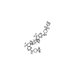 Cn1cc(S(=O)(=O)N2CCC(Nc3ncc(C(F)(F)F)c(-c4cnc(C(C)(O)C(C)(O)c5ncc(-c6nc(NC7CCN(S(C)(=O)=O)CC7)ncc6C(F)(F)F)s5)s4)n3)CC2)cn1